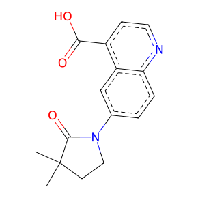 CC1(C)CCN(c2ccc3nccc(C(=O)O)c3c2)C1=O